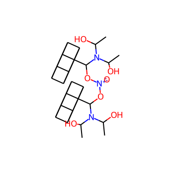 CC(O)N(C(C)O)C(O[N+](=O)OC(N(C(C)O)C(C)O)C12C3C4C5C3C1C5C42)C12C3C4C5C3C1C5C42